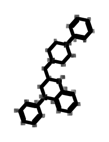 c1ccc(N2CCN(CC3CN(c4ccccc4)c4ccccc4O3)CC2)cc1